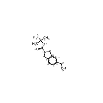 CC(C)(C)OC(=O)N1Cc2ccc(CO)nc2C1